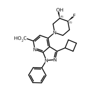 O=C(O)c1cc(N2CC[C@H](F)[C@H](O)C2)c2c(C3CCC3)nn(-c3ccccc3)c2n1